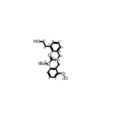 CCOc1ccccc1CN(Cc1cccc(CCO)c1)C(=O)OC(C)(C)C